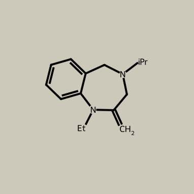 C=C1CN(C(C)C)Cc2ccccc2N1CC